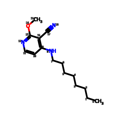 CCCCCCCCNc1ccnc(OC)c1C#N